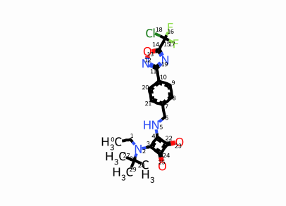 CCN(c1c(NCc2ccc(-c3noc(C(F)(F)Cl)n3)cc2)c(=O)c1=O)C(C)(C)C